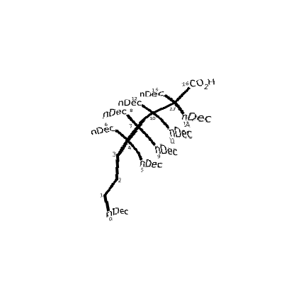 CCCCCCCCCCCCCC(CCCCCCCCCC)(CCCCCCCCCC)C(CCCCCCCCCC)(CCCCCCCCCC)C(CCCCCCCCCC)(CCCCCCCCCC)C(CCCCCCCCCC)(CCCCCCCCCC)C(=O)O